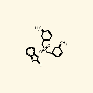 C=C1C=CC=C(CS(=O)(=O)CC2=CC=CC(=C)C2)C1.O=C1C=c2ccccc2=N1